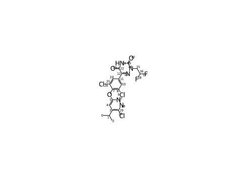 CC(C)c1cc(Oc2c(Cl)cc(-c3nn(CC(F)F)c(=O)[nH]c3=O)cc2Cl)nnc1Cl